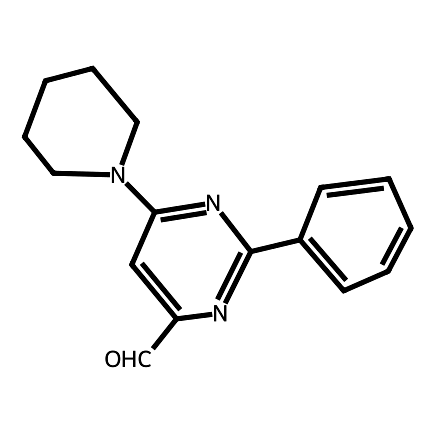 O=Cc1cc(N2CCCCC2)nc(-c2ccccc2)n1